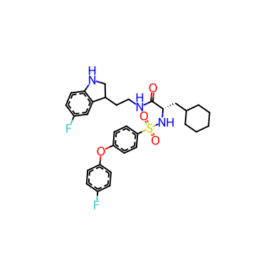 O=C(NCCC1CNc2ccc(F)cc21)[C@H](CC1CCCCC1)NS(=O)(=O)c1ccc(Oc2ccc(F)cc2)cc1